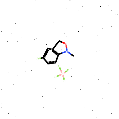 CN1OCc2cc(F)ccc21.F[B-](F)(F)F